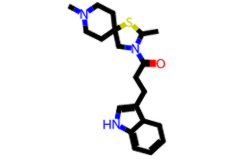 CC1SC2(CCN(C)CC2)CN1C(=O)CCC1=CNC2=CC=CCC12